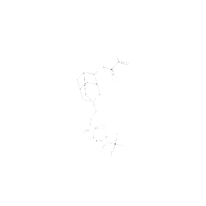 C=C(I)C(=O)OC1C2CC3CC1CC(COS(=O)(=O)NS(=O)(=O)C(F)(F)F)(C3)C2